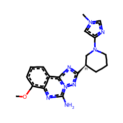 COc1cccc2c1nc(N)n1nc([C@@H]3CCCN(c4cn(C)cn4)C3)nc21